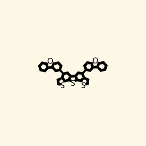 c1ccc2c(c1)oc1ccc(-c3cc4c5cc(-c6ccc7oc8ccccc8c7c6)c6ccsc6c5sc4c4sccc34)cc12